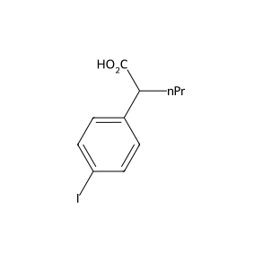 CCCC(C(=O)O)c1ccc(I)cc1